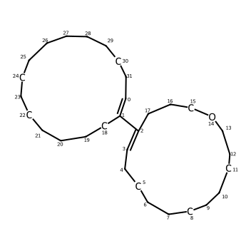 C1=C(C2=CCCCCCCCCCCOCCC2)CCCCCCCCCCCCCC1